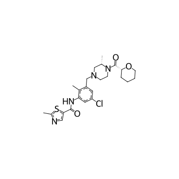 Cc1ncc(C(=O)Nc2cc(Cl)cc(CN3CCN(C(=O)[C@H]4CCCCO4)[C@@H](C)C3)c2C)s1